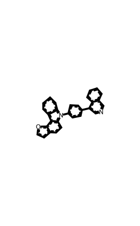 c1ccc2c(-c3ccc(-n4c5ccccc5c5c6occc6ccc54)cc3)cncc2c1